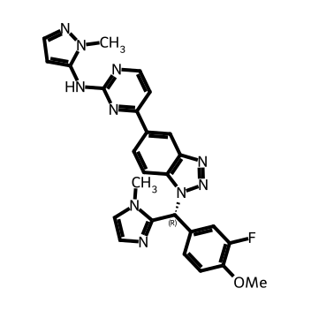 COc1ccc([C@H](c2nccn2C)n2nnc3cc(-c4ccnc(Nc5ccnn5C)n4)ccc32)cc1F